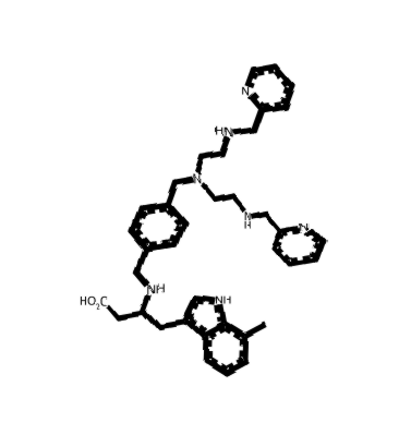 Cc1cccc2c(CC(CC(=O)O)NCc3ccc(CN(CCNCc4ccccn4)CCNCc4ccccn4)cc3)c[nH]c12